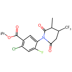 CC(C)OC(=O)c1cc(N2C(=O)CC(C(F)(F)F)C(C)C2=O)c(F)cc1Cl